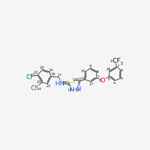 FC(F)(F)c1cccc(Oc2cccc(-c3nnc(NCc4ccc(Cl)c(Cl)c4)s3)c2)c1